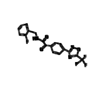 O=C(NCc1ccccc1F)C(=O)c1ccc(-c2noc(C(F)(F)F)n2)cc1